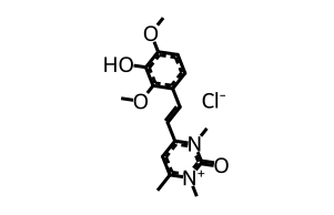 COc1ccc(/C=C/c2cc(C)[n+](C)c(=O)n2C)c(OC)c1O.[Cl-]